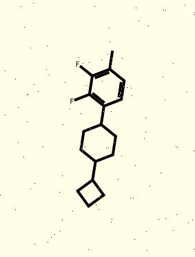 Cc1ccc(C2CCC(C3CCC3)CC2)c(F)c1F